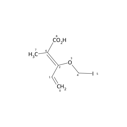 C=C/C(OCI)=C(\C)C(=O)O